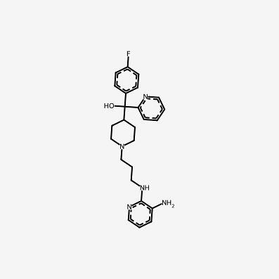 Nc1cccnc1NCCCN1CCC(C(O)(c2ccc(F)cc2)c2ccccn2)CC1